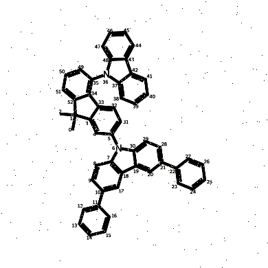 CC1(C)c2cc(-n3c4ccc(-c5ccccc5)cc4c4cc(-c5ccccc5)ccc43)ccc2-c2c(-n3c4ccccc4c4ccccc43)cccc21